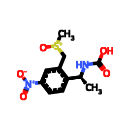 C[C@H](NC(=O)O)c1ccc([N+](=O)[O-])cc1C[S+](C)[O-]